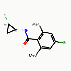 COc1cc(Br)cc(OC)c1C(=O)N[C@@H]1C[C@@H]1F